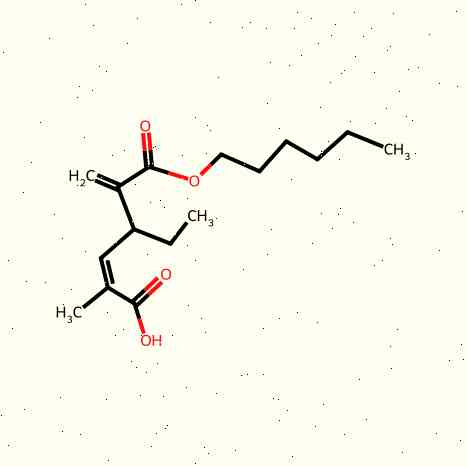 C=C(C(=O)OCCCCCC)C(C=C(C)C(=O)O)CC